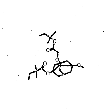 CCC(C)(C)OC(=O)COC12CC3CC(OC)(C1)CC(OC(=O)C(C)(C)CC)(C3)C2